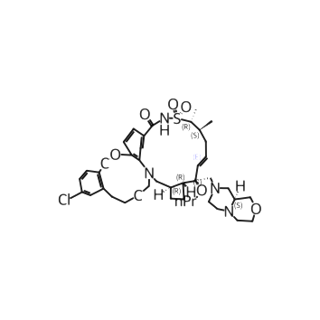 CCCO[C@]1(CN2CCN3CCOC[C@@H]3C2)/C=C/C[C@H](C)[C@@H](C)S(=O)(=O)NC(=O)c2ccc3c(c2)N(CCCCc2cc(Cl)ccc2CO3)C[C@@H]2CC[C@H]21